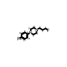 FCCCN1CCN(c2ccc(F)cc2)CC1